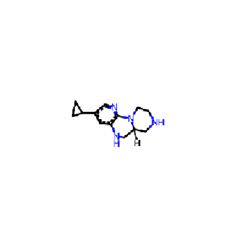 c1nc2c(cc1C1CC1)NC[C@H]1CNCCN21